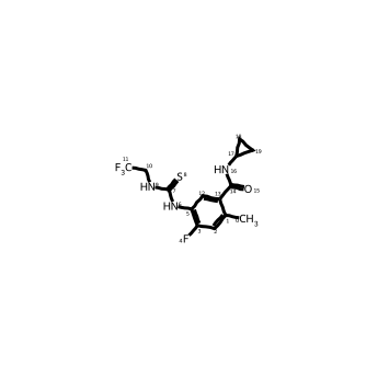 Cc1cc(F)c(NC(=S)NCC(F)(F)F)cc1C(=O)NC1CC1